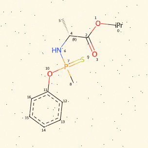 CC(C)OC(=O)[C@@H](C)NP(C)(=S)Oc1ccccc1